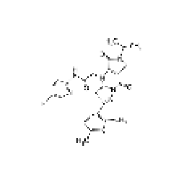 Cc1ccc(-c2cc3n(CC(=O)Nc4ccc(F)cn4)c4c(c(=O)n3n2)CN(C(C)C)C4=O)c(C)n1